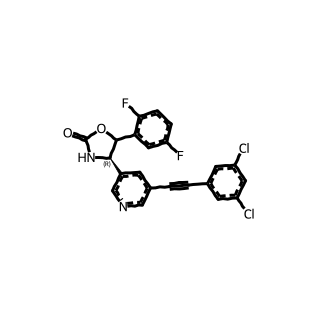 O=C1N[C@H](c2cncc(C#Cc3cc(Cl)cc(Cl)c3)c2)C(c2cc(F)ccc2F)O1